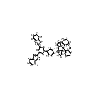 c1ccc2c(c1)Sc1ccccc1C21c2ccccc2-c2c(-c3ccc(-c4cc(-c5nc6ccccc6o5)cc(-c5nc6ccccc6o5)c4)cc3)cccc21